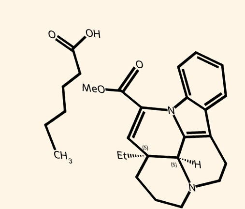 CCCCCC(=O)O.CC[C@@]12C=C(C(=O)OC)n3c4c(c5ccccc53)CCN(CCC1)[C@H]42